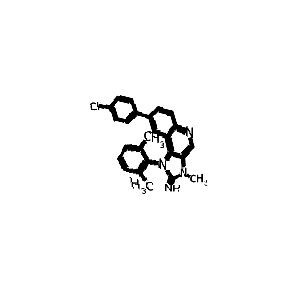 Cc1cccc(C)c1-n1c(=N)n(C)c2cnc3ccc(-c4ccc(Cl)cc4)cc3c21